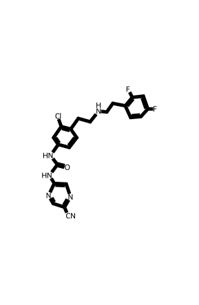 N#Cc1cnc(NC(=O)Nc2ccc(CCNCCc3ccc(F)cc3F)c(Cl)c2)cn1